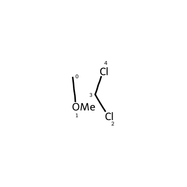 COC.ClCCl